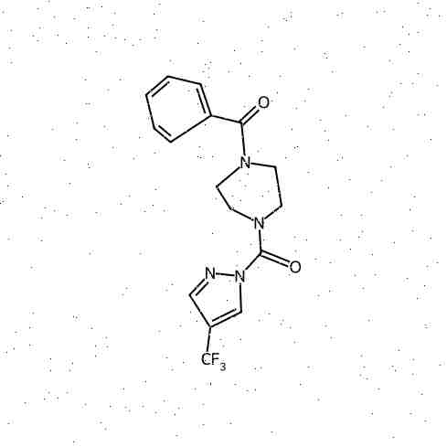 O=C(c1ccccc1)N1CCN(C(=O)n2cc(C(F)(F)F)cn2)CC1